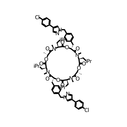 CC(C)C[C@H]1C(=O)O[C@H](Cc2ccc(Cn3cc(-c4ccc(Cl)cc4)cn3)cc2)C(=O)N(C)[C@@H](CC(C)C)C(=O)O[C@H](C)C(=O)N(C)[C@@H](CC(C)C)C(=O)O[C@H](Cc2ccc(Cn3cc(-c4ccc(Cl)cc4)cn3)cc2)C(=O)N(C)[C@@H](CC(C)C)C(=O)O[C@H](C)C(=O)N1C